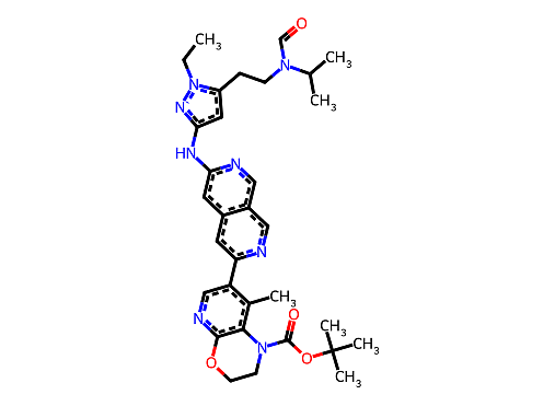 CCn1nc(Nc2cc3cc(-c4cnc5c(c4C)N(C(=O)OC(C)(C)C)CCO5)ncc3cn2)cc1CCN(C=O)C(C)C